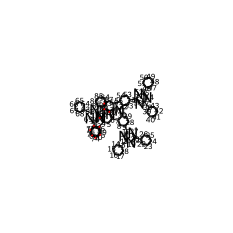 c1ccc(-c2cc(-c3cc(-c4nc(-c5ccccc5)nc(-c5ccccc5)n4)ccc3-n3c4cc(-c5nc(-c6ccccc6)nc(-c6ccccc6)n5)ccc4c4ccc(-c5nc(-c6ccccc6)nc(-c6ccccc6)n5)cc43)nc(-c3ccccc3)n2)cc1